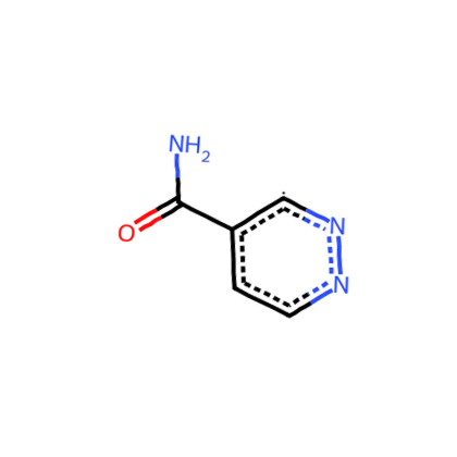 NC(=O)c1[c]nncc1